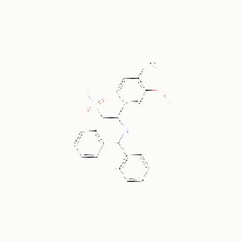 CCOc1cc(C(CS(C)(=O)=O)NC(c2ccccc2)c2ccccc2)ccc1OC